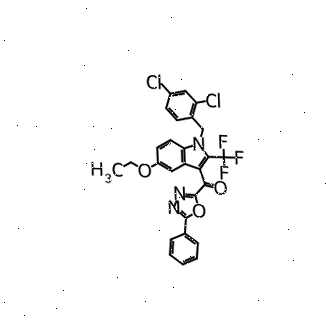 CCOc1ccc2c(c1)c(C(=O)c1nnc(-c3ccccc3)o1)c(C(F)(F)F)n2Cc1ccc(Cl)cc1Cl